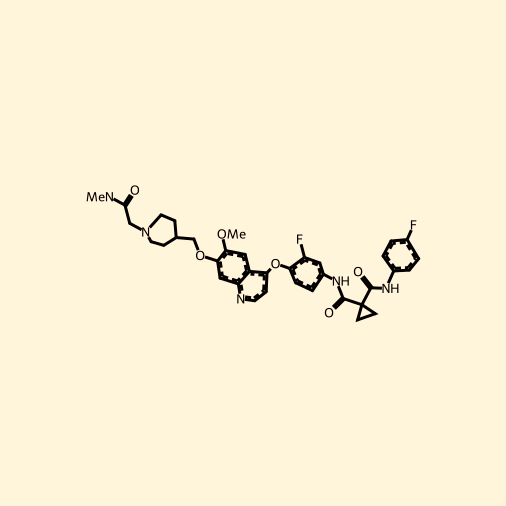 CNC(=O)CN1CCC(COc2cc3nccc(Oc4ccc(NC(=O)C5(C(=O)Nc6ccc(F)cc6)CC5)cc4F)c3cc2OC)CC1